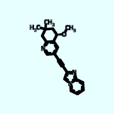 CO[C@@H]1CC(C)(C)Cc2ncc(C#Cc3cn4ccccc4n3)cc21